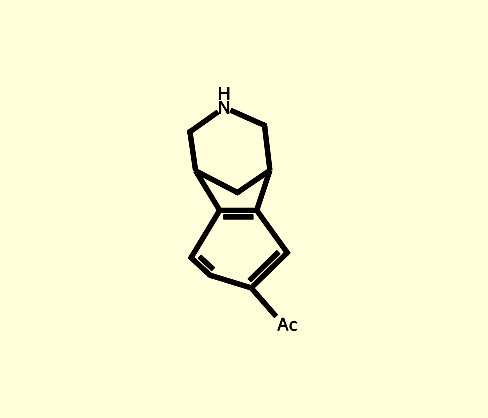 CC(=O)c1ccc2c(c1)C1CNCC2C1